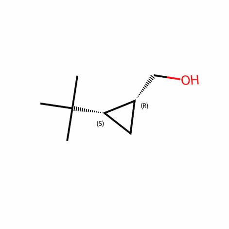 CC(C)(C)[C@H]1C[C@H]1CO